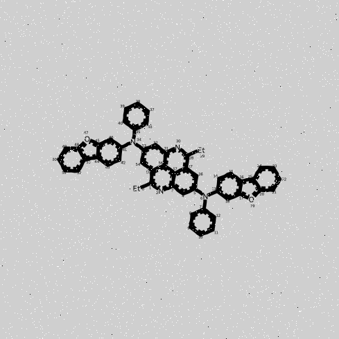 CCc1nc2cc(N(c3ccccc3)c3ccc4c(c3)oc3ccccc34)cc3c(CC)nc4cc(N(c5ccccc5)c5ccc6c(c5)oc5ccccc56)cc1c4c23